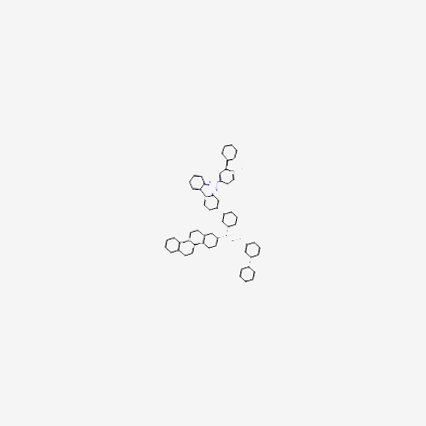 c1ccc(-c2cccc(CCC(c3cccc(-c4ccc5c6ccccc6n(-c6ccc7sc8ccccc8c7c6)c5c4)c3)c3ccc4c(ccc5c6ccccc6ccc45)c3)c2)cc1